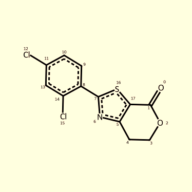 O=C1OCCc2nc(-c3ccc(Cl)cc3Cl)sc21